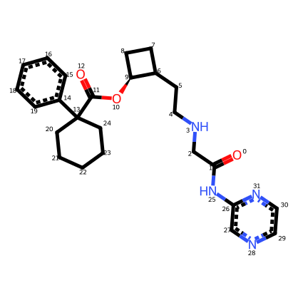 O=C(CNCCC1CC[C@@H]1OC(=O)C1(c2ccccc2)CCCCC1)Nc1cnccn1